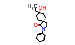 CC[C@]1(O)CC[C@@]2(CCN(C3=CC[CH]C=C3)C2=O)CC1